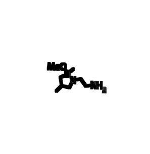 CO[Si]1(C)CC(C)CN1CCN